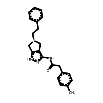 Cc1ccc(CC(=O)Nc2n[nH]c3c2CN(CCc2ccccc2)C3)cc1